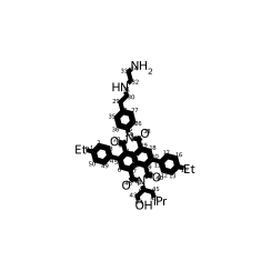 CCc1ccc(-c2cc3c4c(c(-c5ccc(CC)cc5)cc5c4c2C(=O)N(c2ccc(CCNCCN)cc2)C5=O)C(=O)N(C(CO)CC(C)C)C3=O)cc1